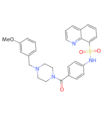 COc1cccc(CN2CCN(C(=O)c3ccc(NS(=O)(=O)c4cccc5cccnc45)cc3)CC2)c1